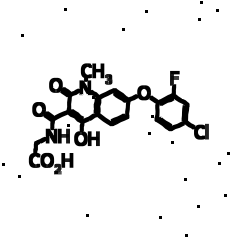 Cn1c(=O)c(C(=O)NCC(=O)O)c(O)c2ccc(Oc3ccc(Cl)cc3F)cc21